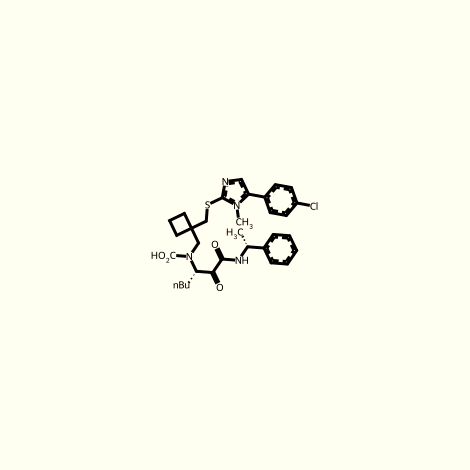 CCCC[C@@H](C(=O)C(=O)N[C@H](C)c1ccccc1)N(CC1(CSc2ncc(-c3ccc(Cl)cc3)n2C)CCC1)C(=O)O